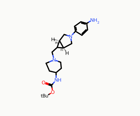 CC(C)(C)OC(=O)NC1CCN(CC2[C@H]3CN(c4ccc(N)cc4)C[C@@H]23)CC1